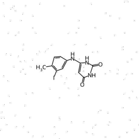 Cc1ccc(Nc2cc(=O)[nH]c(=O)[nH]2)cc1I